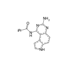 CC(C)C(=O)Nc1nc(N)nc2ccc3[nH]ccc3c12